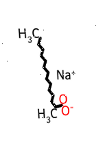 CCCCCCCCCCCCCC(C)C(=O)[O-].[Na+]